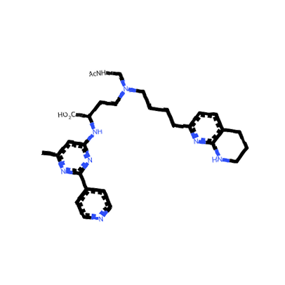 CC(=O)NCN(CCCCc1ccc2c(n1)NCCC2)CCC(Nc1cc(C)nc(-c2ccncc2)n1)C(=O)O